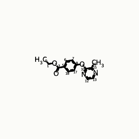 CCOC(=O)c1ccc(Oc2nccnc2C)cc1